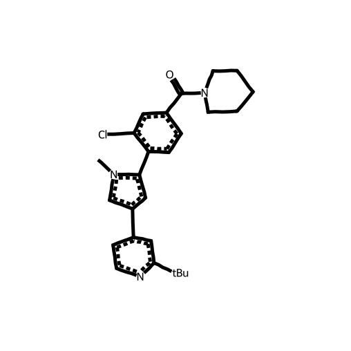 Cn1cc(-c2ccnc(C(C)(C)C)c2)cc1-c1ccc(C(=O)N2CCCCC2)cc1Cl